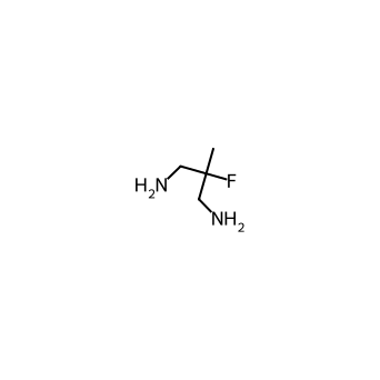 CC(F)(CN)CN